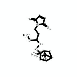 COC(CCN1C(=O)C=CC1=O)OOC1(C)CCC2CC1C2(C)C